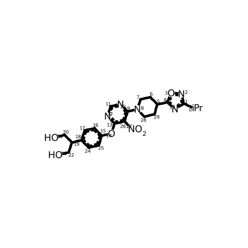 CC(C)c1noc(C2CCN(c3ncnc(Oc4ccc(C(CO)CO)cc4)c3[N+](=O)[O-])CC2)n1